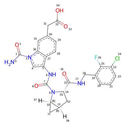 NC(=O)n1cc(NC(=O)N2[C@@H]3C[C@@H]3C[C@H]2C(=O)NCc2cccc(Cl)c2F)c2ccc(CC(=O)O)cc21